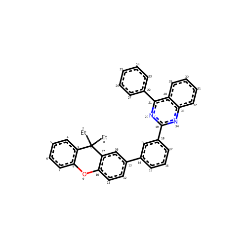 CCC1(CC)c2ccccc2Oc2ccc(-c3cccc(-c4nc(-c5ccccc5)c5ccccc5n4)c3)cc21